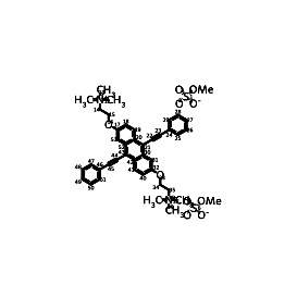 COS(=O)(=O)[O-].COS(=O)(=O)[O-].C[N+](C)(C)CCOc1ccc2c(C#Cc3ccccc3)c3cc(OCC[N+](C)(C)C)ccc3c(C#Cc3ccccc3)c2c1